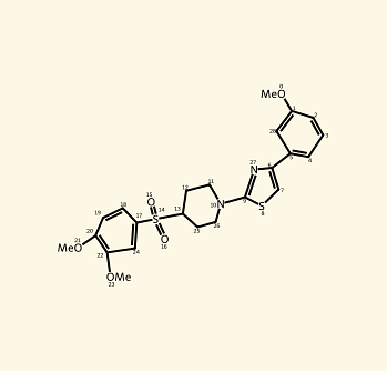 COc1cccc(-c2csc(N3CCC(S(=O)(=O)c4ccc(OC)c(OC)c4)CC3)n2)c1